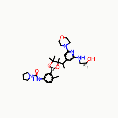 Cc1ccc(NC(=O)N2CCCC2)cc1B1OC(C)(C)C(C)(C(C)c2cc(NC[C@@H](C)O)nc(N3CCOCC3)c2)O1